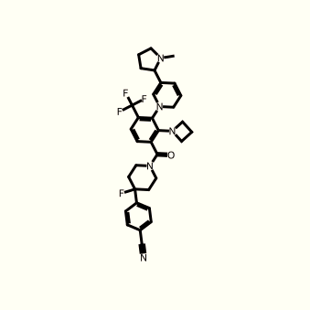 CN1CCCC1C1=CN(c2c(C(F)(F)F)ccc(C(=O)N3CCC(F)(c4ccc(C#N)cc4)CC3)c2N2CCC2)CC=C1